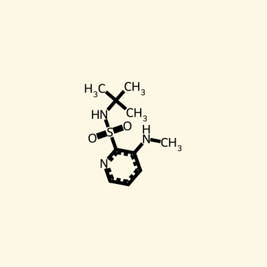 CNc1cccnc1S(=O)(=O)NC(C)(C)C